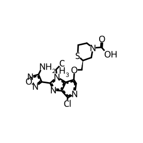 CCn1c(-c2nonc2N)nc2c(Cl)ncc(OC[C@@H]3CN(C(=O)O)CCS3)c21